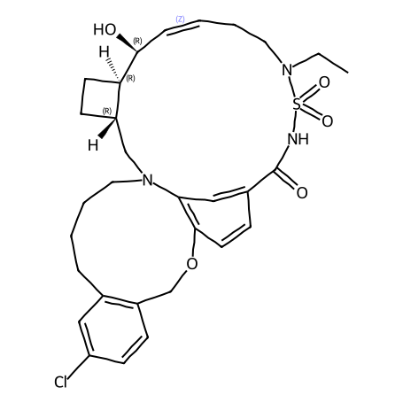 CCN1CC/C=C\[C@H](O)[C@@H]2CC[C@H]2CN2CCCCc3cc(Cl)ccc3COc3ccc(cc32)C(=O)NS1(=O)=O